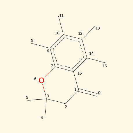 C=C1CC(C)(C)Oc2c(C)c(C)c(C)c(C)c21